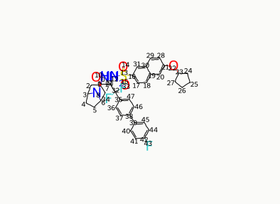 NC1CC2CCC(C1)N2C(=O)[C@H](NS(=O)(=O)c1ccc2cc(OC3CCCC3)ccc2c1)C(F)(F)c1ccc(-c2ccc(F)cc2)cc1